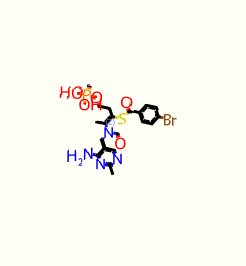 C=P(O)(O)OCC/C(SC(=O)c1ccc(Br)cc1)=C(\C)N(C=O)Cc1cnc(C)nc1N